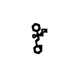 N#CN=S(=O)(C=Cc1ccccn1)c1ccccc1